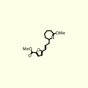 COC(=O)c1ccc(/C=C/CC2CCCCC(OC)=N2)o1